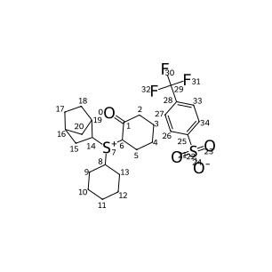 O=C1CCCCC1[S+](C1CCCCC1)C1CC2CCC1C2.O=S(=O)([O-])c1ccc(C(F)(F)F)cc1